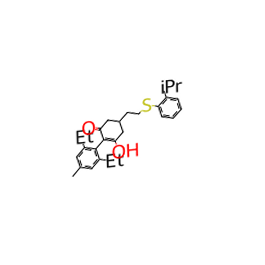 CCc1cc(C)cc(CC)c1C1=C(O)CC(CCSc2ccccc2C(C)C)CC1=O